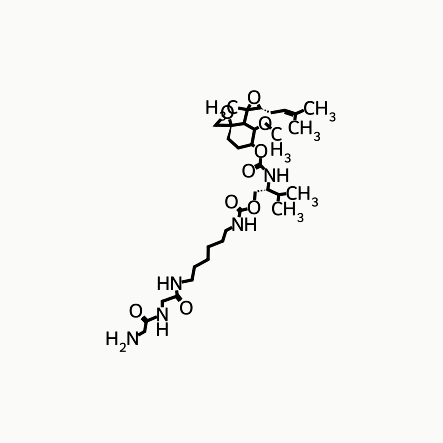 COC1C(OC(=O)N[C@@H](COC(=O)NCCCCCCNC(=O)CNC(=O)CN)C(C)C)CC[C@]2(CO2)C1C1(C)O[C@@H]1CC=C(C)C